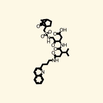 CC(C)C(CC(=O)NCCCc1ccc2ccccc2n1)C(=O)NC(CC(=O)O)C(=O)CNS(=O)(=O)CC12CCC(CC1=O)C2(C)C